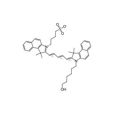 CC1(C)C(/C=C/C=C/C=C2/N(CCCCCCO)c3ccc4ccccc4c3C2(C)C)=[N+](CCCCS(=O)(=O)[O-])c2ccc3ccccc3c21